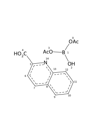 CC(=O)OB(O)OC(C)=O.O=C(O)c1ccc2ccccc2n1